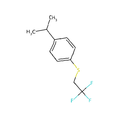 CC(C)c1ccc(SCC(F)(F)F)cc1